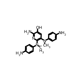 CN(c1ccc(N)cc1)c1cc(O)c(N)nc1N(C)c1ccc(N)cc1